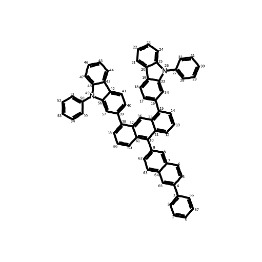 c1ccc(-c2ccc3cc(-c4c5cccc(-c6ccc7c8ccccc8n(-c8ccccc8)c7c6)c5cc5c(-c6ccc7c8ccccc8n(-c8ccccc8)c7c6)cccc45)ccc3c2)cc1